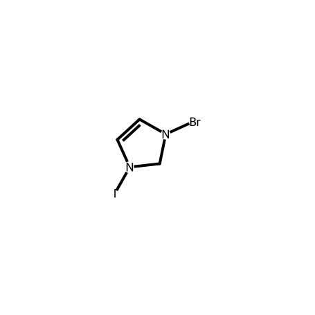 BrN1C=CN(I)C1